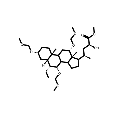 CC[C@H]1[C@@H](OCOC)C2C3CC[C@H]([C@H](C)C[C@H](O)C(=O)OC)[C@@]3(C)[C@@H](OCOC)CC2[C@@]2(C)CC[C@@H](OCOC)C[C@@H]12